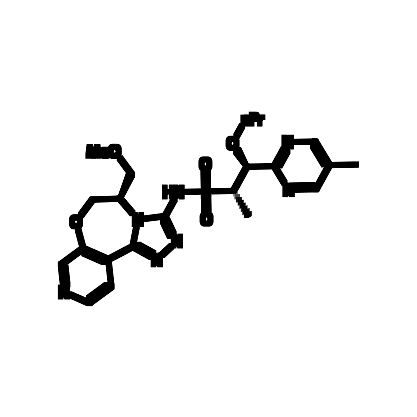 CCCO[C@@H](c1ncc(C)cn1)[C@H](C)S(=O)(=O)Nc1nnc2n1[C@H](COC)COc1cnccc1-2